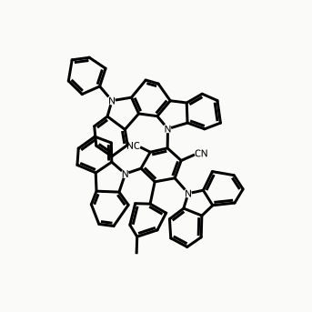 Cc1ccc(-c2c(-n3c4ccccc4c4ccccc43)c(C#N)c(-n3c4ccccc4c4ccc5c(c6ccccc6n5-c5ccccc5)c43)c(C#N)c2-n2c3ccccc3c3ccccc32)cc1